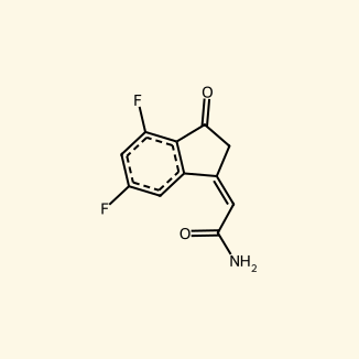 NC(=O)/C=C1/CC(=O)c2c(F)cc(F)cc21